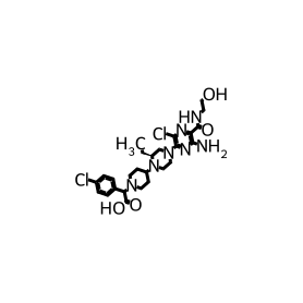 CC[C@H]1CN(c2nc(N)c(C(=O)NCCO)nc2Cl)CCN1C1CCN(C(C(=O)O)c2ccc(Cl)cc2)CC1